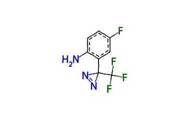 Nc1ccc(F)cc1C1(C(F)(F)F)N=N1